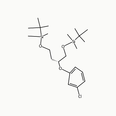 CC(C)(C)[Si](C)(C)OCC[C@H](CO[Si](C)(C)C(C)(C)C)Oc1cccc(Cl)c1